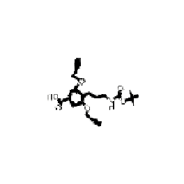 C#CCOc1cc(C(=O)O)cc(OCC#C)c1CCCNC(=O)OC(C)(C)C